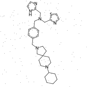 c1c[nH]c(CN(Cc2ccc(CN3CCC4(CCN(C5CCCCC5)CC4)C3)cc2)Cc2nccs2)n1